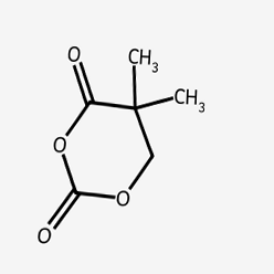 CC1(C)COC(=O)OC1=O